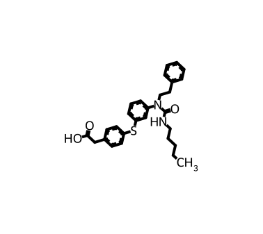 CCCCCNC(=O)N(CCc1ccccc1)c1cccc(Sc2ccc(CC(=O)O)cc2)c1